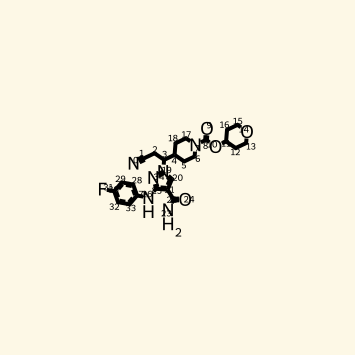 N#CCC(C1CCN(C(=O)OC2CCOCC2)CC1)n1cc(C(N)=O)c(Nc2ccc(F)cc2)n1